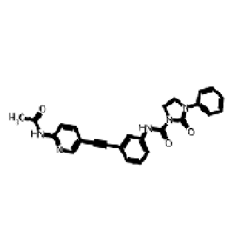 CC(=O)Nc1ccc(C#Cc2cccc(NC(=O)N3CCN(c4ccccc4)C3=O)c2)cn1